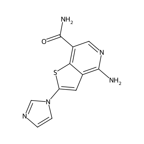 NC(=O)c1cnc(N)c2cc(-n3ccnc3)sc12